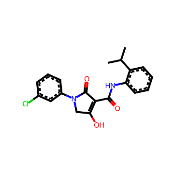 CC(C)c1ccccc1NC(=O)C1=C(O)CN(c2cccc(Cl)c2)C1=O